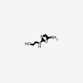 Nc1cnc(NCCO)o1